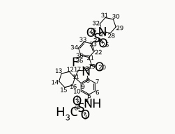 CS(=O)(=O)Nc1ccc2c(c1)C1(CCCCC1)CN2C(=O)c1cc(S(=O)(=O)N2CCCCC2)ccc1F